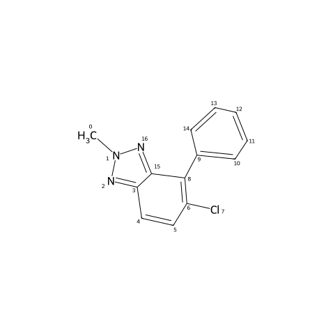 Cn1nc2ccc(Cl)c(-c3ccccc3)c2n1